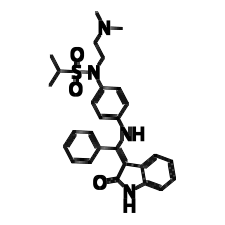 CC(C)S(=O)(=O)N(CCN(C)C)c1ccc(NC(=C2C(=O)Nc3ccccc32)c2ccccc2)cc1